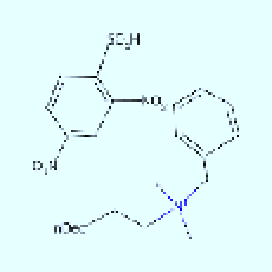 CCCCCCCCCCCC[N+](C)(C)Cc1ccccc1.O=[N+]([O-])c1ccc(S(=O)(=O)O)c([N+](=O)[O-])c1